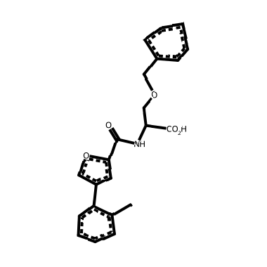 Cc1ccccc1-c1coc(C(=O)NC(COCc2ccccc2)C(=O)O)c1